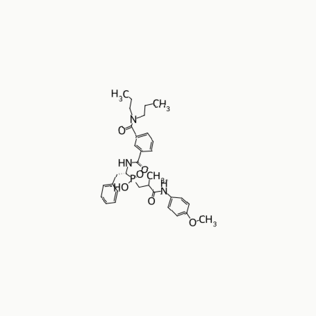 CCCN(CCC)C(=O)c1cccc(C(=O)N[C@@H](Cc2ccccc2)P(=O)(O)CC(C)C(=O)Nc2ccc(OC)cc2)c1